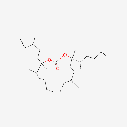 CCCCC(C)C(C)(CCC(C)CC)OC(=O)OC(C)(CCC(C)CC)C(C)CCCC